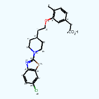 Cc1ccc(CC(=O)O)cc1OCCC1CCN(c2nc3ccc(Cl)cc3s2)CC1